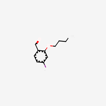 CCCCOc1cc(I)ccc1C=O